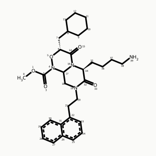 COC(=O)N1O[C@H](CC2CCCCC2)C(=O)N2C1CN(CCc1cccc3ccccc13)C(=O)[C@@H]2CCCCN